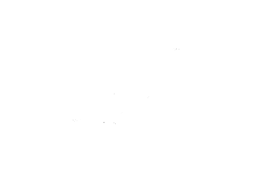 COc1ccc(C(=O)C(CC(=O)N[C@@H](CSC)C(=O)O)SC(C)=O)cc1F